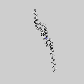 [CH2]CCCCCCCCCCOc1ccc(/C=C/C(=O)Oc2ccc3cc(OCCCCC)ccc3c2)cc1